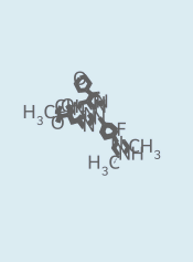 CC(C)C(=O)c1cc2cnc(Nc3ccc(N4C[C@@H](C)N[C@@H](C)C4)c(F)c3)nc2n(Cc2cnncc2C2CCOCC2)c1=O